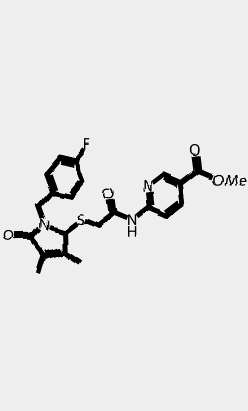 COC(=O)c1ccc(NC(=O)CSC2C(C)=C(C)C(=O)N2Cc2ccc(F)cc2)nc1